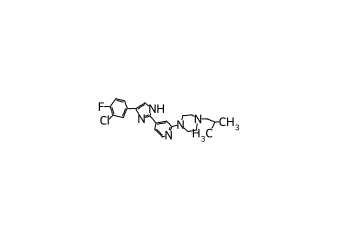 CC(C)CN1CCN(c2cc(-c3nc(-c4ccc(F)c(Cl)c4)c[nH]3)ccn2)CC1